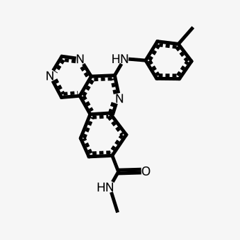 CNC(=O)c1ccc2c(c1)nc(Nc1cccc(C)c1)c1ncncc12